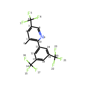 Cc1cc(C(F)(F)F)cnc1-c1cc(C(F)(F)F)cc(C(F)(F)F)c1